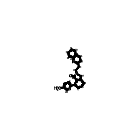 Cc1ccc(-c2cccc3c2C(=O)N(CCc2ccc4ccccc4n2)C3)nc1